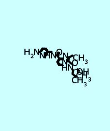 CCc1nc2c(C(=O)NCc3ccc(N)nc3)cccn2c1C(=O)N[C@H](CO)CC(C)C